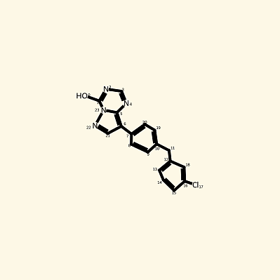 Oc1ncnc2c(-c3ccc(Cc4cccc(Cl)c4)cc3)cnn12